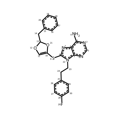 Nc1ncnc2c1nc(SC1=COC(Cc3ccccc3)O1)n2CCc1ccc(F)cc1